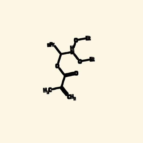 C=C(C)C(=O)OC(CCC)[SiH](OCC)OCC